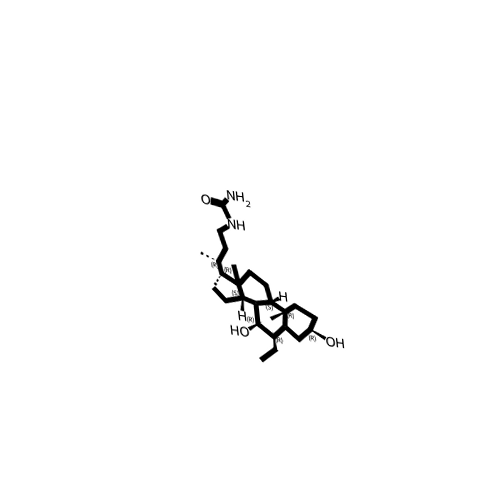 CC[C@@H]1C2C[C@H](O)CC[C@@]2(C)[C@H]2CCC3(C)[C@@H]([C@H](C)CCNC(N)=O)CC[C@H]3C2[C@@H]1O